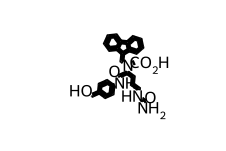 NC(=O)NCCCC(C(=O)Nc1ccc(CO)cc1)N(CC1c2ccccc2-c2ccccc21)C(=O)O